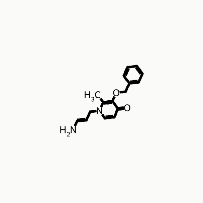 Cc1c(OCc2ccccc2)c(=O)ccn1CC=CN